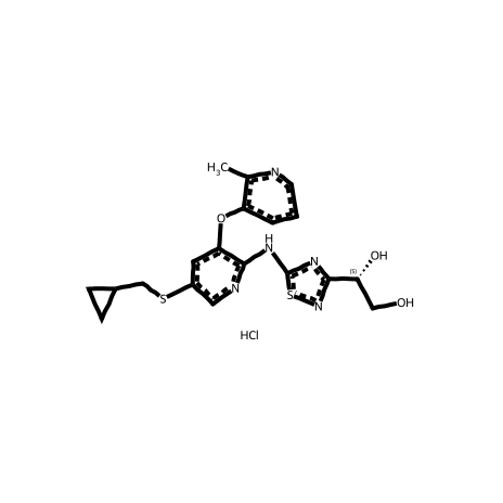 Cc1ncccc1Oc1cc(SCC2CC2)cnc1Nc1nc([C@H](O)CO)ns1.Cl